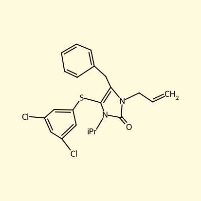 C=CCn1c(Cc2ccccc2)c(Sc2cc(Cl)cc(Cl)c2)n(C(C)C)c1=O